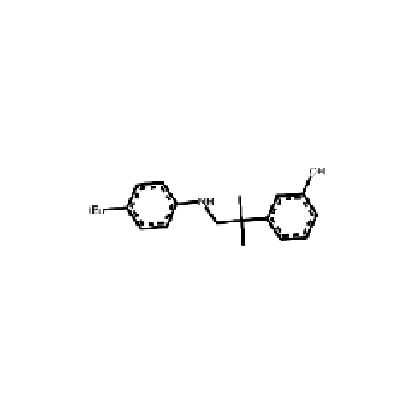 CC(C)(C)c1ccc(NCC(C)(C)c2cccc(O)c2)cc1